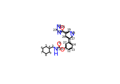 O=C(NCC1CCCCC1)Oc1cccc(-c2cncc(-c3ncno3)c2)c1